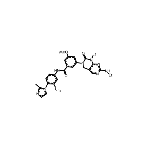 CCNc1ncc2c(n1)N(CC)C(=O)N(c1cc(OC)cc(C(=O)Nc3ccc(-n4ccnc4C)c(C(F)(F)F)c3)c1)C2